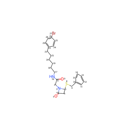 O=C(CN1C(=O)CC1SCc1ccccc1)NCCCCCCc1ccc(Br)cc1